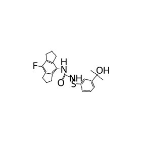 CC(C)(O)c1cccc(SNC(=O)Nc2c3c(c(F)c4c2CCC4)CCC3)c1